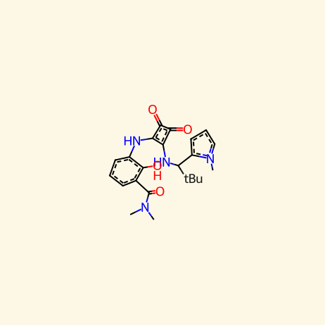 CN(C)C(=O)c1cccc(Nc2c(NC(c3cccn3C)C(C)(C)C)c(=O)c2=O)c1O